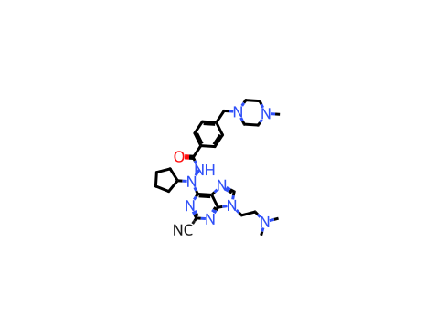 CN(C)CCn1cnc2c(N(NC(=O)c3ccc(CN4CCN(C)CC4)cc3)C3CCCC3)nc(C#N)nc21